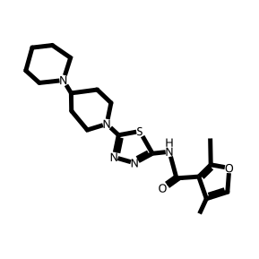 Cc1coc(C)c1C(=O)Nc1nnc(N2CCC(N3CCCCC3)CC2)s1